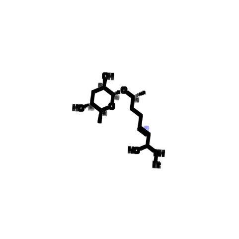 CCNC(O)/C=C/CC[C@@H](C)O[C@@H]1O[C@@H](C)[C@H](O)C[C@H]1O